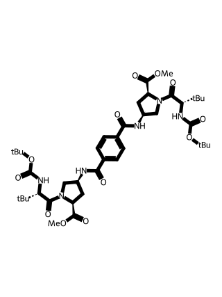 COC(=O)[C@@H]1C[C@H](NC(=O)c2ccc(C(=O)N[C@H]3C[C@@H](C(=O)OC)N(C(=O)[C@@H](NC(=O)OC(C)(C)C)C(C)(C)C)C3)cc2)CN1C(=O)[C@@H](NC(=O)OC(C)(C)C)C(C)(C)C